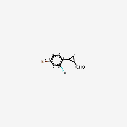 O=[C]C1CC1c1ccc(Br)cc1F